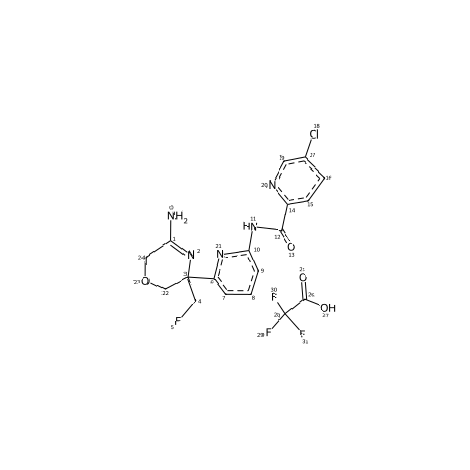 NC1=NC(CF)(c2cccc(NC(=O)c3ccc(Cl)cn3)n2)COC1.O=C(O)C(F)(F)F